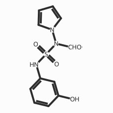 O=[C]N(n1cccc1)S(=O)(=O)Nc1cccc(O)c1